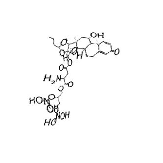 CCCC1O[C@@H]2CC3[C@@H]4CCC5=CC(=O)C=C[C@]5(C)C4[C@@H](O)C[C@]3(C)[C@]2(C(=O)COC(=O)CC(N)C(=O)OCC(CON(O)O)ON(O)O)O1